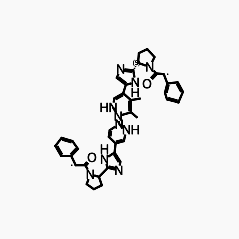 CC1=C(C)N(N2C=CC(c3cnc(C4CCCN4C(=O)[CH]c4ccccc4)[nH]3)=CN2)NC=C1c1cnc([C@@H]2CCCN2C(=O)[CH]c2ccccc2)[nH]1